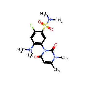 CN(C)c1cc(F)c(S(=O)(=O)N(C)C)cc1-n1c(=O)cc(C(F)(F)F)n(C)c1=O